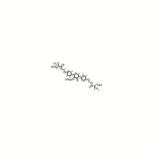 C=C(CO)C(=O)OCOc1ccc(-c2ccc(-c3ccc(OCOC(=O)C(=C)CO)cc3)c(CCCCCCC)c2F)cc1